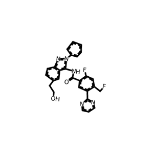 O=C(Nc1c2cc(CCO)ccc2nn1-c1ccccc1)c1cc(-c2ncccn2)c(CF)cc1F